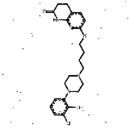 Cc1c(Cl)cccc1N1CCN(CCCCOc2ccc3c(n2)NC(=O)CC3)CC1